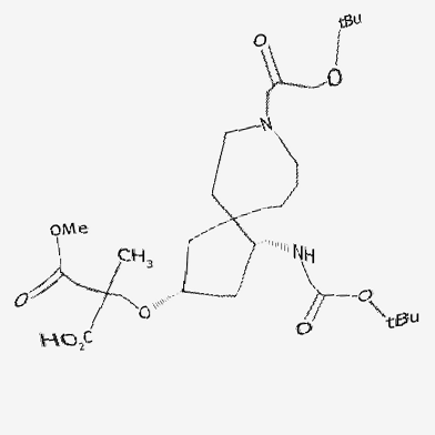 COC(=O)C(C)(O[C@H]1C[C@@H](NC(=O)OC(C)(C)C)C2(CCN(C(=O)OC(C)(C)C)CC2)C1)C(=O)O